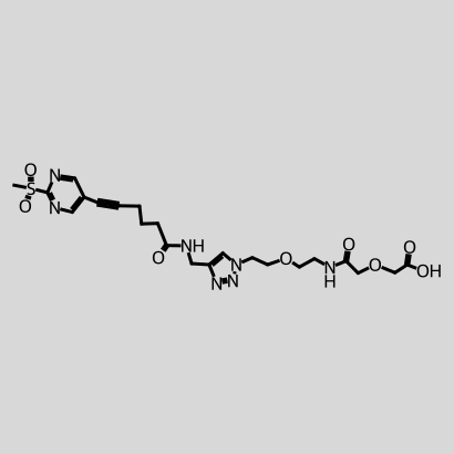 CS(=O)(=O)c1ncc(C#CCCCC(=O)NCc2cn(CCOCCNC(=O)COCC(=O)O)nn2)cn1